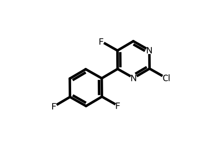 Fc1ccc(-c2nc(Cl)ncc2F)c(F)c1